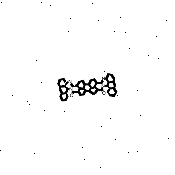 O=c1c2ccc3c4ccc5c(=O)n6c(nc7cccc8cc9ccccc9c6c87)c6ccc(c7ccc(c2c37)c2nc3cccc7cc8ccccc8c(c73)n12)c4c56